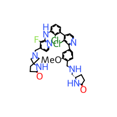 COc1cc(-c2nccc(-c3cccc(Nc4nccc(CN5CC6(CCC(=O)N6)C5)c4F)c3Cl)c2Cl)ccc1CNC[C@@H]1CCC(=O)N1